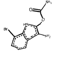 NC(=O)Oc1[nH]c2c(Br)cccc2c1N